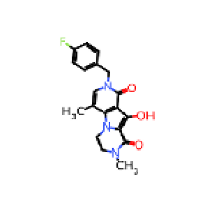 Cc1cn(Cc2ccc(F)cc2)c(=O)c2c(O)c3n(c12)CCN(C)C3=O